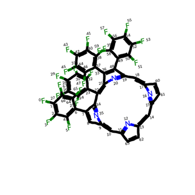 Fc1c(F)c(F)c(C2=CC3=CC4=NC(=CC5=NC(=CC6=NC(=C(c7c(F)c(F)c(F)c(F)c7F)C2=N3)C(c2c(F)c(F)c(F)c(F)c2F)=C6c2c(F)c(F)c(F)c(F)c2F)C=C5)C=C4)c(F)c1F